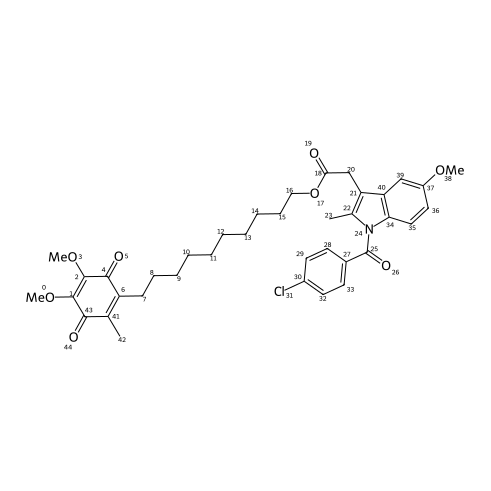 COC1=C(OC)C(=O)C(CCCCCCCCCCOC(=O)Cc2c(C)n(C(=O)c3ccc(Cl)cc3)c3ccc(OC)cc23)=C(C)C1=O